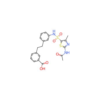 CC(=O)Nc1nc(C)c(S(=O)(=O)Nc2cccc(CCc3cccc(C(=O)O)c3)c2)s1